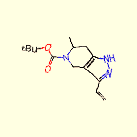 C=Cc1n[nH]c2c1CN(C(=O)OC(C)(C)C)C(C)C2